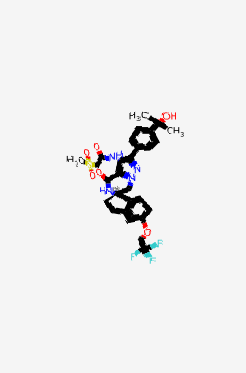 CC(C)(O)c1ccc(-c2nn3c(c2NC(=O)CS(C)(=O)=O)C(=O)N[C@]2(CCc4cc(OCC(F)(F)F)ccc42)C3)cc1